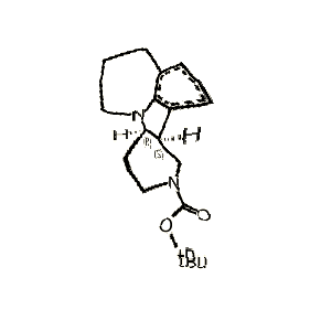 CC(C)(C)OC(=O)N1CC[C@@H]2[C@H](C1)c1cccc3c1N2CCCC3